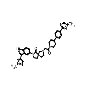 Cn1cnc(-c2ccc(C3=CCN(C(=O)CN4CC[C@]5(CCN(c6ccc7[nH]nc(-c8cnn(C)n8)c7c6)C5=O)C4)CC3)cc2)n1